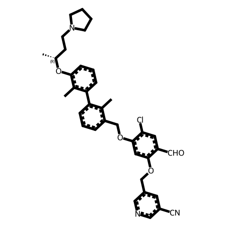 Cc1c(COc2cc(OCc3cncc(C#N)c3)c(C=O)cc2Cl)cccc1-c1cccc(O[C@H](C)CCN2CCCC2)c1C